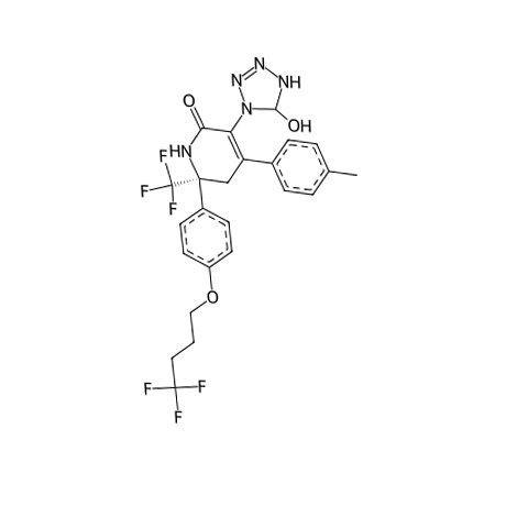 Cc1ccc(C2=C(N3N=NNC3O)C(=O)N[C@@](c3ccc(OCCCC(F)(F)F)cc3)(C(F)(F)F)C2)cc1